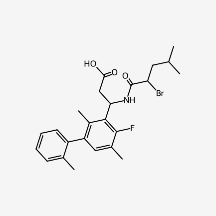 Cc1ccccc1-c1cc(C)c(F)c(C(CC(=O)O)NC(=O)C(Br)CC(C)C)c1C